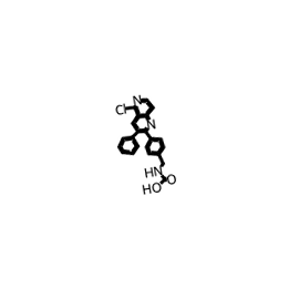 O=C(O)NCc1ccc(-c2nc3ccnc(Cl)c3cc2-c2ccccc2)cc1